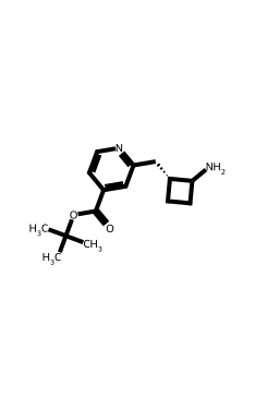 CC(C)(C)OC(=O)c1ccnc(C[C@H]2CCC2N)c1